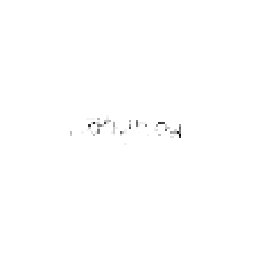 O=C(c1ccc(COc2ccc(OC(F)(F)F)cc2)o1)N1CCC(O)(c2ccc(Cl)cc2)CC1